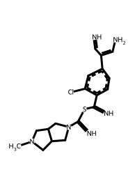 CN1CC2CN(C(=N)SC(=N)c3ccc(/C(C=N)=C/N)cc3Cl)CC2C1